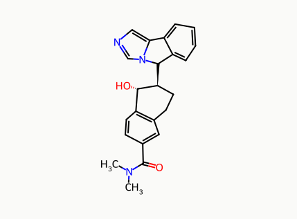 CN(C)C(=O)c1ccc2c(c1)CC[C@H](C1c3ccccc3-c3cncn31)[C@H]2O